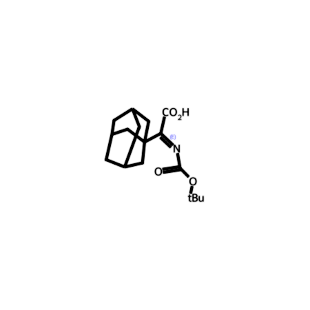 CC(C)(C)OC(=O)/N=C(/C(=O)O)C12CC3CC(CC(C3)C1)C2